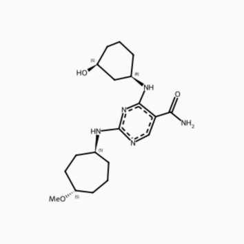 CO[C@H]1CCC[C@H](Nc2ncc(C(N)=O)c(N[C@@H]3CCC[C@H](O)C3)n2)CC1